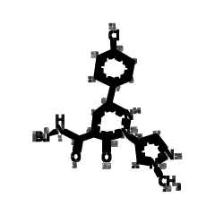 CC[C@H](C)NC(=O)c1cc(-c2ccc(Cl)cc2)nn(-c2cnn(C)c2)c1=O